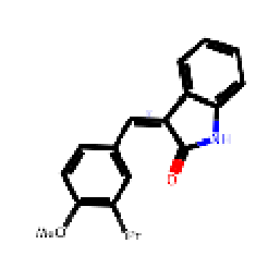 COc1ccc(/C=C2\C(=O)Nc3ccccc32)cc1C(C)C